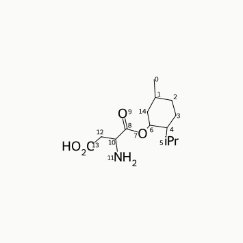 CC1CCC(C(C)C)C(OC(=O)C(N)CC(=O)O)C1